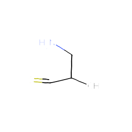 CC(C=S)CN